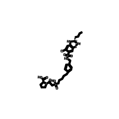 CCCC[C@@H]1NSc2cc(S(=O)(=O)NCc3ccc(CCCCCP(=O)(O)CC(=O)N4CCCC4C(=O)O)cc3)c(Cl)cc2N1